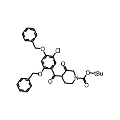 CC(C)(C)OC(=O)N1CCC(C(=O)c2cc(Cl)c(OCc3ccccc3)cc2OCc2ccccc2)C(=O)C1